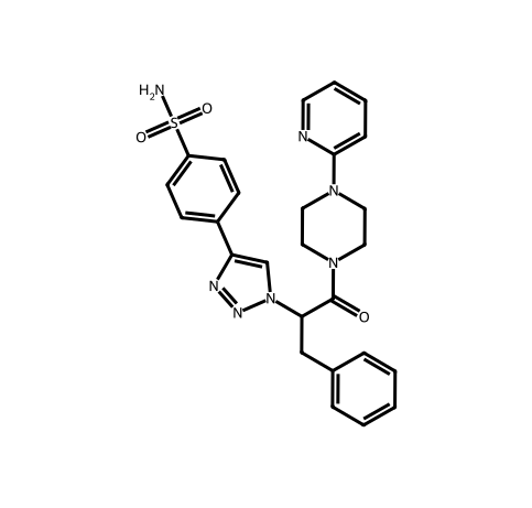 NS(=O)(=O)c1ccc(-c2cn(C(Cc3ccccc3)C(=O)N3CCN(c4ccccn4)CC3)nn2)cc1